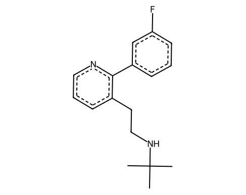 CC(C)(C)NCCc1cccnc1-c1cccc(F)c1